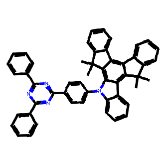 CC1(C)c2ccccc2-c2c3c(c4c(c21)c1ccccc1n4-c1ccc(-c2nc(-c4ccccc4)nc(-c4ccccc4)n2)cc1)C(C)(C)c1ccccc1-3